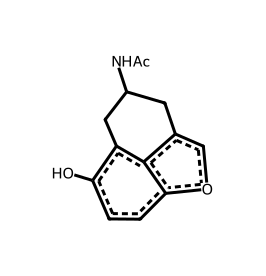 CC(=O)NC1Cc2coc3ccc(O)c(c23)C1